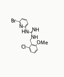 COc1cccc(Cl)c1CNC(=N)Nc1cccc(Br)n1